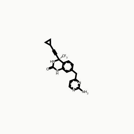 Nc1nccc(Cc2ccc3c(c2)NC(=O)N[C@]3(C#CC2CC2)C(F)(F)F)n1